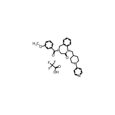 COc1cccc(C(=O)N2CC(=O)N(CC3CCN(c4ccncc4)CC3)c3ccccc3C2)c1.O=C(O)C(F)(F)F